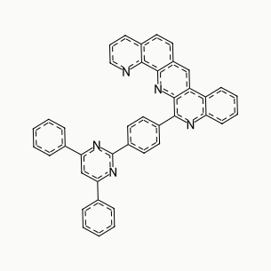 c1ccc(-c2cc(-c3ccccc3)nc(-c3ccc(-c4nc5ccccc5c5cc6ccc7cccnc7c6nc45)cc3)n2)cc1